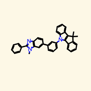 Cn1c(-c2ccccc2)nc2ccc(-c3cccc(-n4c5c(c6ccccc64)C(C)(C)c4ccccc4-5)c3)cc21